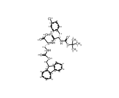 CC(C)(C)OC(=O)N[C@@H](Cc1ccc(Cl)cc1)C(=O)N[C@H](CNC(=O)OCC1c2ccccc2-c2ccccc21)C(=O)O